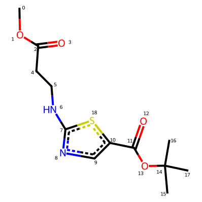 COC(=O)CCNc1ncc(C(=O)OC(C)(C)C)s1